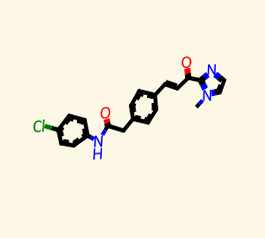 Cn1ccnc1C(=O)C=Cc1ccc(CC(=O)Nc2ccc(Cl)cc2)cc1